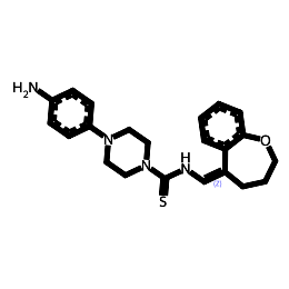 Nc1ccc(N2CCN(C(=S)N/C=C3/CCCOc4ccccc43)CC2)cc1